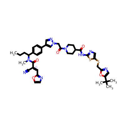 CCCC(c1ccc(-c2cnn(CC(=O)N3CCC(C(=O)Nc4ncc(SCc5ncc(C(C)(C)C)o5)s4)CC3)c2)cc1)N(C)C(=O)/C(C#N)=C/c1ncco1